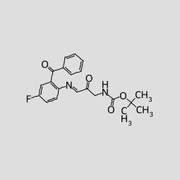 CC(C)(C)OC(=O)NCC(=O)/C=N/c1ccc(F)cc1C(=O)c1ccccc1